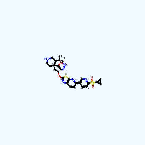 CC(C)C1CNCC[C@@]1(CCOc1nc2ccc(-c3ccc(S(=O)(=O)C4CC4)nc3)nc2s1)c1cnno1